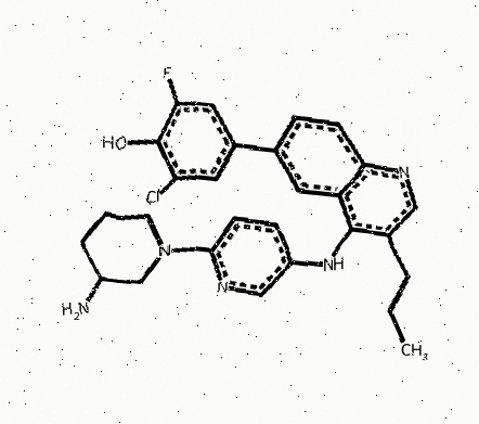 CCCc1cnc2ccc(-c3cc(F)c(O)c(Cl)c3)cc2c1Nc1ccc(N2CCCC(N)C2)nc1